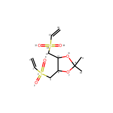 C=CS(=O)(=O)CC1OC(C)(C)OC1CS(=O)(=O)C=C